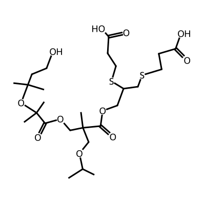 CC(C)OCC(C)(COC(=O)C(C)(C)OC(C)(C)CCO)C(=O)OCC(CSCCC(=O)O)SCCC(=O)O